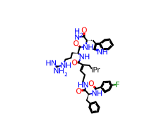 CC(C)C/C(=C\CCNC(=O)[C@H](Cc1ccccc1)NC(=O)c1ccc(F)cc1)C(=O)N[C@@H](CCCNC(=N)N)C(=O)N[C@@H](Cc1c[nH]c2ccccc12)C(N)=O